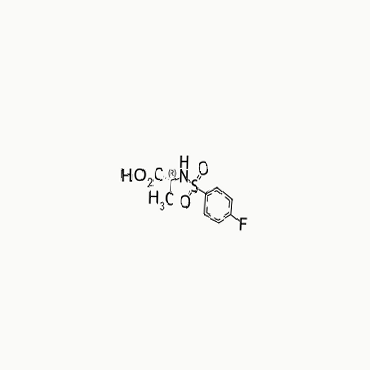 C[C@@H](NS(=O)(=O)c1ccc(F)cc1)C(=O)O